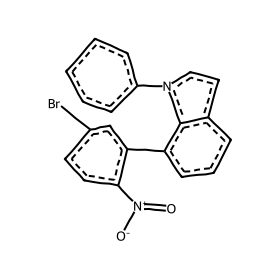 O=[N+]([O-])c1ccc(Br)cc1-c1cccc2ccn(-c3ccccc3)c12